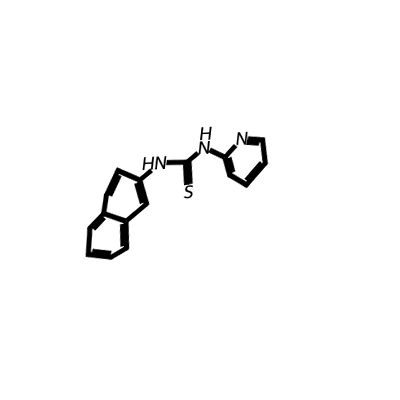 S=C(Nc1ccc2ccccc2c1)Nc1ccccn1